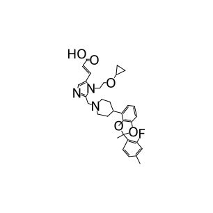 Cc1ccc(C2(C)Oc3cccc(C4CCN(Cc5ncc(/C=C/C(=O)O)n5CCOC5CC5)CC4)c3O2)c(F)c1